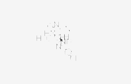 Cc1ccc(-c2nc(CC(C)(C)NCC(=O)N3CCC[C@H]3C#N)c(C)[nH]2)cc1